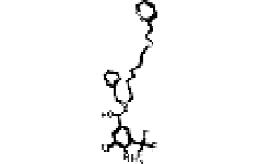 Nc1c(Cl)cc(C(O)CN(CCCCCCOCCc2ccccn2)Cc2ccccc2)cc1C(F)(F)F